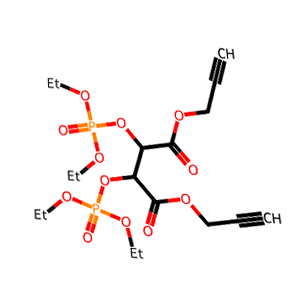 C#CCOC(=O)C(OP(=O)(OCC)OCC)C(OP(=O)(OCC)OCC)C(=O)OCC#C